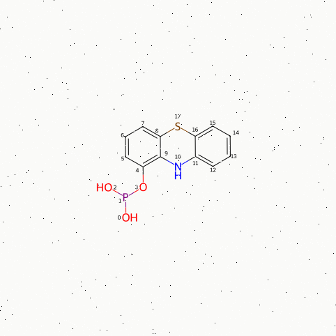 OP(O)Oc1cccc2c1Nc1ccccc1S2